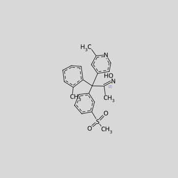 C/C(=N/O)C(c1cccc(S(C)(=O)=O)c1)(c1ccnc(C)c1)c1ccccc1C